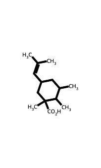 CC(C)=CC1CC(C)C(C)C(C)(C(=O)O)C1